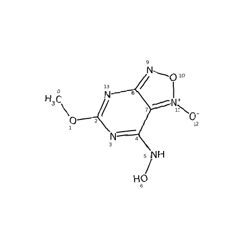 COc1nc(NO)c2c(no[n+]2[O-])n1